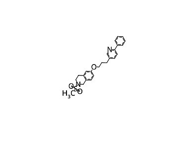 CS(=O)(=O)N1CCc2cc(OCCCc3ccc(-c4ccccc4)nc3)ccc2C1